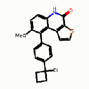 CCC1(c2ccc(-c3c(OC)ccc4[nH]c(=O)c5sccc5c34)cc2)CCC1